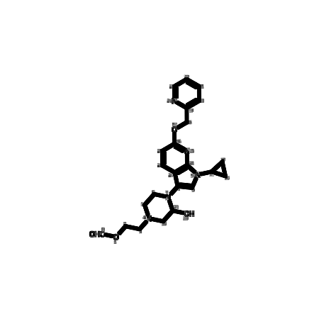 O=COCCN1CCN(c2cn(C3CC3)c3nc(OCc4ccccn4)ccc23)C(O)C1